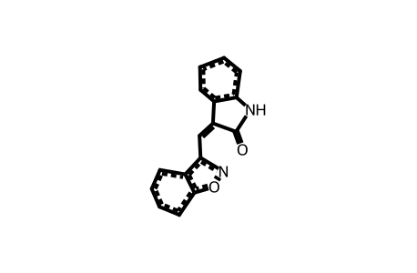 O=C1Nc2ccccc2C1=Cc1noc2ccccc12